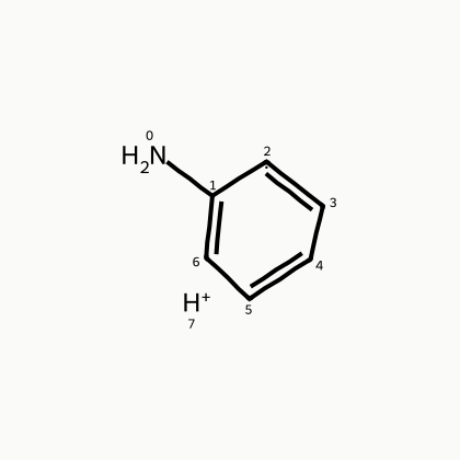 Nc1[c]cccc1.[H+]